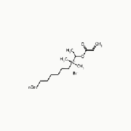 C=CC(=O)OC(C)[N+](C)(C)CCCCCCCCCCCCCCCC.[Br-]